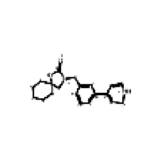 O=C1OC2(CCCCC2)CN1Cc1cccc(C2=CCNC=C2)c1